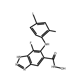 Cc1cc(I)ccc1Nc1c(C(=O)NO)cc2nn[nH]c2c1F